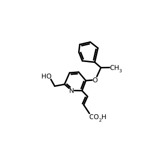 CC(Oc1ccc(CO)nc1/C=C/C(=O)O)c1ccccc1